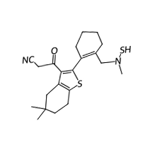 CN(S)CC1=C(c2sc3c(c2C(=O)CC#N)CC(C)(C)CC3)CCCC1